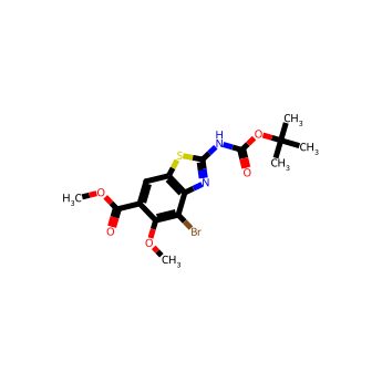 COC(=O)c1cc2sc(NC(=O)OC(C)(C)C)nc2c(Br)c1OC